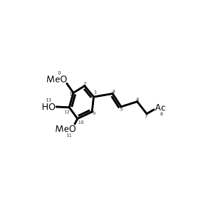 COc1cc(/C=C/CCC(C)=O)cc(OC)c1O